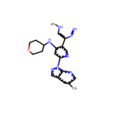 CCCN/C=C(\N=N)c1cnc(-n2ncc3cc(C#N)cnc32)cc1NC1CCOCC1